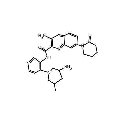 CC1CC(N)CN(c2ccncc2NC(=O)c2nc3cc(N4CCCCC4=O)ccc3cc2N)C1